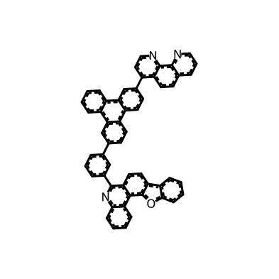 c1cc(-c2ccc3c4ccc(-c5ccnc6c5ccc5cccnc56)cc4c4ccccc4c3c2)cc(-c2nc3ccccc3c3c2ccc2c4ccccc4oc23)c1